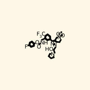 CS(=O)(=O)N1CCc2c(c(-c3ccc(C(F)(F)F)c(CNC(=O)Oc4ccc(F)cc4)c3)nn2CC(O)CN2CCCC2)C1